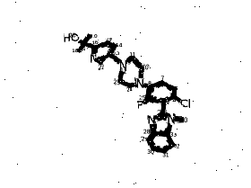 Cn1c(-c2c(Cl)ccc(N3CCN(c4ccc(C(C)(C)O)nc4)CC3)c2F)nc2ccccc21